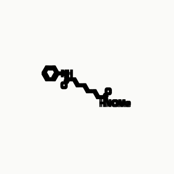 CONC(=O)CCCCCCC(=O)Nc1ccccc1